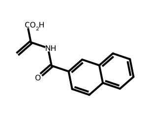 C=C(NC(=O)c1ccc2ccccc2c1)C(=O)O